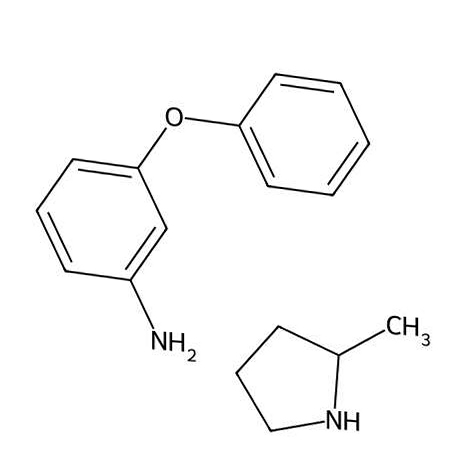 CC1CCCN1.Nc1cccc(Oc2ccccc2)c1